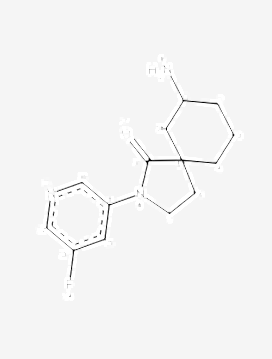 NC1CCCC2(CCN(c3cncc(F)c3)C2=O)C1